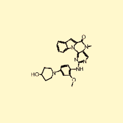 COc1cc(N2CCC(O)CC2)ccc1Nc1ncc2c(n1)n1c(cc3ccccc31)c(=O)n2C